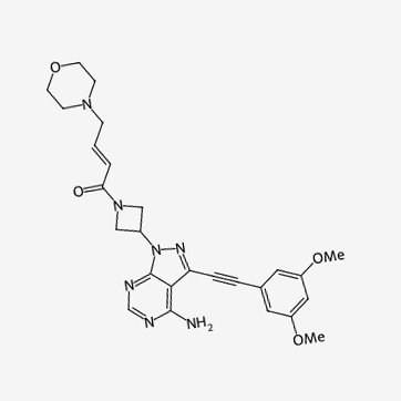 COc1cc(C#Cc2nn(C3CN(C(=O)C=CCN4CCOCC4)C3)c3ncnc(N)c23)cc(OC)c1